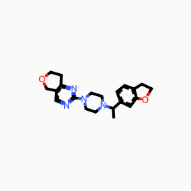 CC(c1ccc2c(c1)OCC2)N1CCN(c2ncc3c(n2)CCOC3)CC1